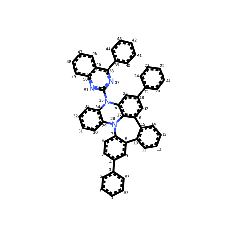 c1ccc(-c2ccc3c(c2)-c2ccccc2-c2cc(-c4ccccc4)cc4c2N3c2ccccc2N4c2nc(-c3ccccc3)c3ccccc3n2)cc1